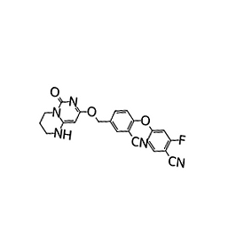 N#Cc1ccc(Oc2ccc(COc3cc4n(c(=O)n3)CCCN4)cc2C#N)cc1F